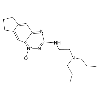 CCCN(CCC)CCNc1nc2cc3c(cc2[n+]([O-])n1)CCC3